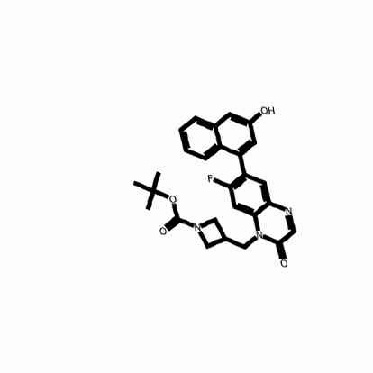 CC(C)(C)OC(=O)N1CC(Cn2c(=O)cnc3cc(-c4cc(O)cc5ccccc45)c(F)cc32)C1